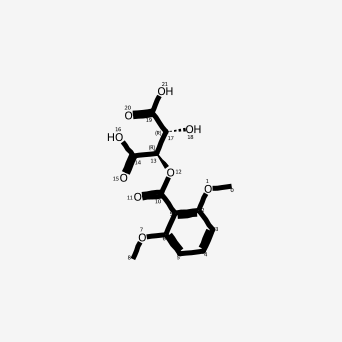 COc1cccc(OC)c1C(=O)O[C@@H](C(=O)O)[C@@H](O)C(=O)O